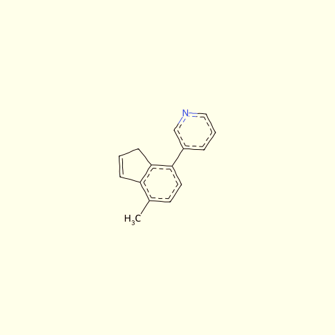 Cc1ccc(-c2cccnc2)c2c1C=CC2